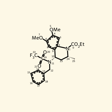 CCOC(=O)N1c2cc(OC)c(OC)cc2[C@@H](N(Cc2ccccc2)S(=O)(=O)C(F)(F)F)C[C@H]1C